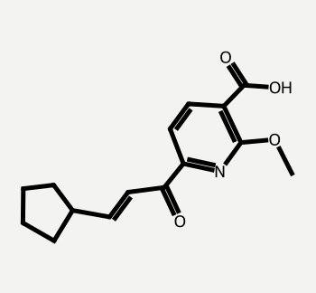 COc1nc(C(=O)C=CC2CCCC2)ccc1C(=O)O